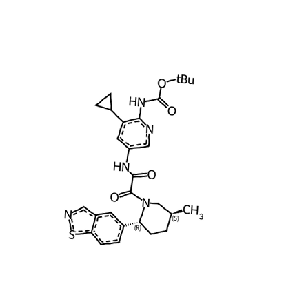 C[C@H]1CC[C@H](c2ccc3sncc3c2)N(C(=O)C(=O)Nc2cnc(NC(=O)OC(C)(C)C)c(C3CC3)c2)C1